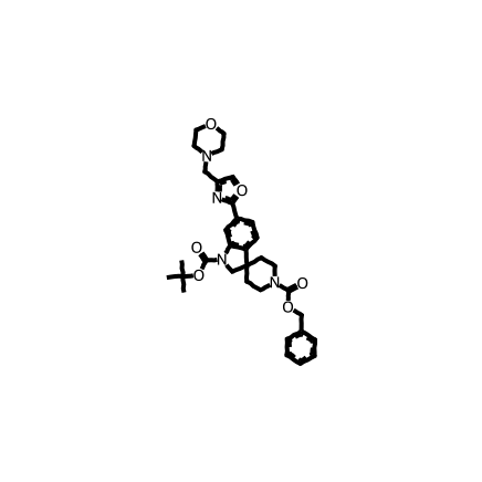 CC(C)(C)OC(=O)N1CC2(CCN(C(=O)OCc3ccccc3)CC2)c2ccc(-c3nc(CN4CCOCC4)co3)cc21